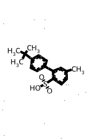 Cc1ccc(S(=O)(=O)O)c(-c2ccc(C(C)(C)C)cc2)c1